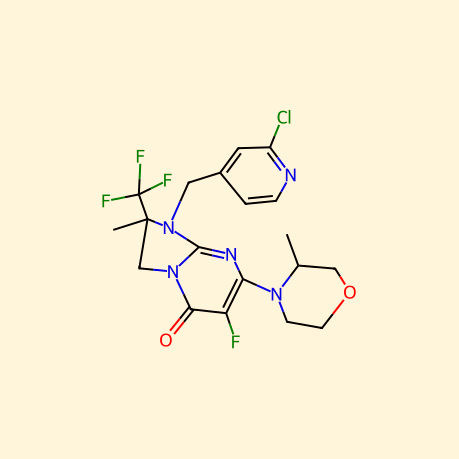 CC1COCCN1c1nc2n(c(=O)c1F)CC(C)(C(F)(F)F)N2Cc1ccnc(Cl)c1